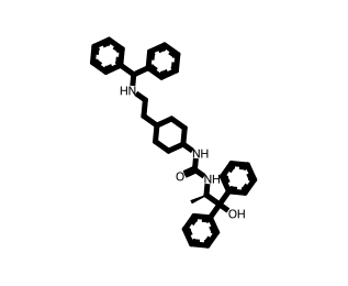 C[C@@H](NC(=O)NC1CCC(CCNC(c2ccccc2)c2ccccc2)CC1)C(O)(c1ccccc1)c1ccccc1